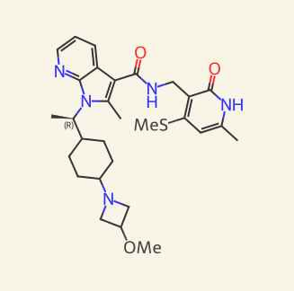 COC1CN(C2CCC([C@@H](C)n3c(C)c(C(=O)NCc4c(SC)cc(C)[nH]c4=O)c4cccnc43)CC2)C1